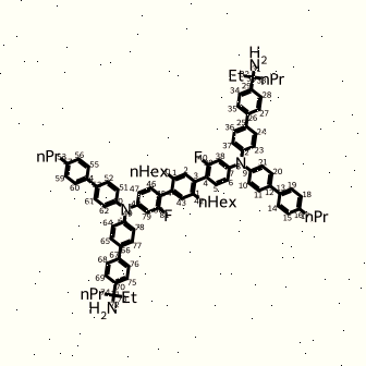 CCCCCCc1cc(-c2ccc(N(c3ccc(-c4ccc(CCC)cc4)cc3)c3ccc(-c4ccc(C(N)(CC)CCC)cc4)cc3)cc2F)c(CCCCCC)cc1-c1ccc(N(c2ccc(-c3ccc(CCC)cc3)cc2)c2ccc(-c3ccc(C(N)(CC)CCC)cc3)cc2)cc1F